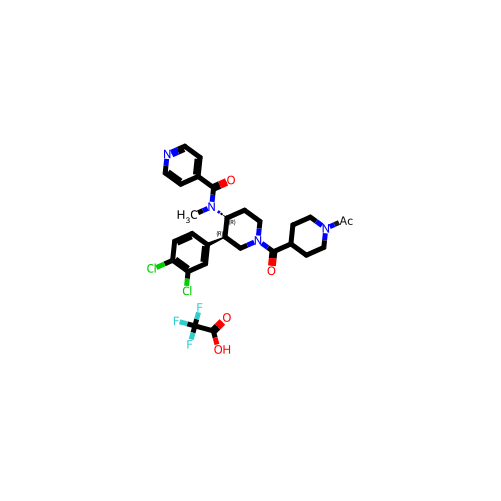 CC(=O)N1CCC(C(=O)N2CC[C@@H](N(C)C(=O)c3ccncc3)[C@H](c3ccc(Cl)c(Cl)c3)C2)CC1.O=C(O)C(F)(F)F